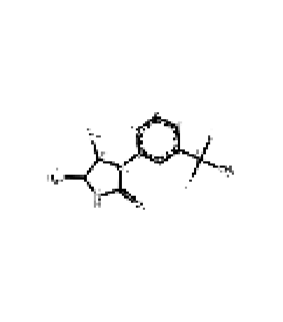 CC1NC(=O)N(c2cc(C(C)(F)F)ccn2)C1O